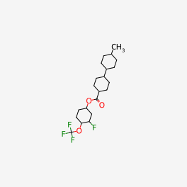 CC1CCC(C2CCC(C(=O)OC3CCC(OC(F)(F)F)C(F)C3)CC2)CC1